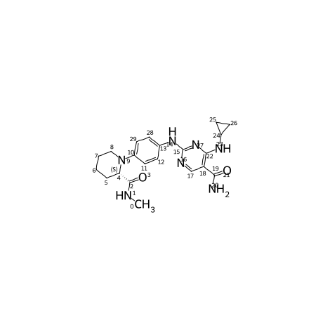 CNC(=O)[C@@H]1CCCCN1c1ccc(Nc2ncc(C(N)=O)c(NC3CC3)n2)cc1